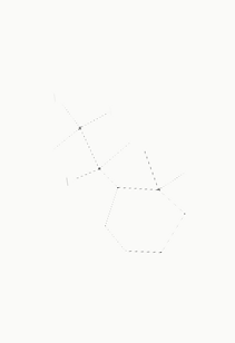 CC1(C)CCCCC1C(F)(F)C(F)(F)F